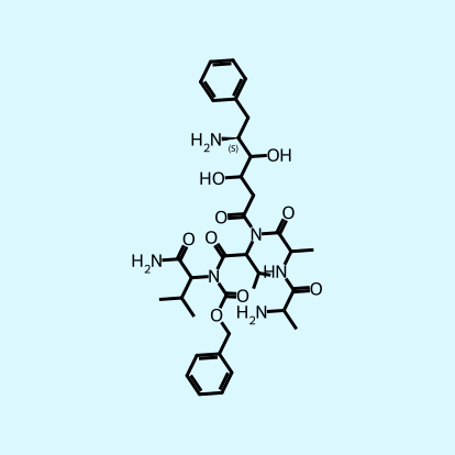 CC(N)C(=O)NC(C)C(=O)N(C(=O)CC(O)C(O)[C@@H](N)Cc1ccccc1)C(C(=O)N(C(=O)OCc1ccccc1)C(C(N)=O)C(C)C)C(C)C